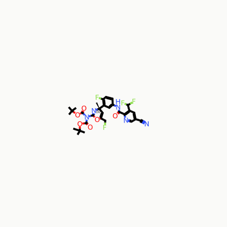 CC(C)(C)OC(=O)N(C(=O)OC(C)(C)C)C1=N[C@](C)(c2cc(NC(=O)c3ncc(C#N)cc3C(F)F)ccc2F)C=C(CF)O1